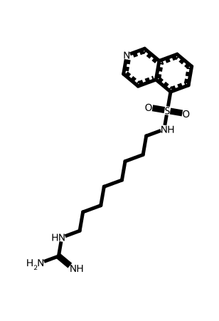 N=C(N)NCCCCCCCCNS(=O)(=O)c1cccc2cnccc12